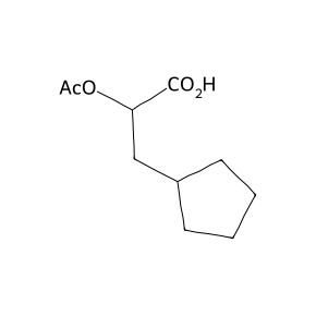 CC(=O)OC(CC1CCCC1)C(=O)O